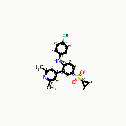 Cc1cc(-c2cc(S(=O)(=O)C3CC3)ccc2Nc2ccc(F)cc2)cc(C)n1